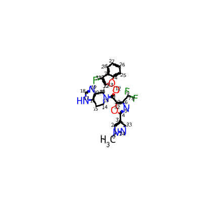 Cn1cc(-c2nc(C(F)F)c(C(=O)N3CCc4[nH]cnc4[C@@H]3c3oc4ccccc4c3F)o2)cn1